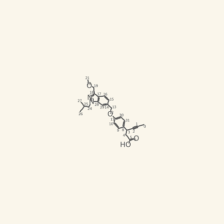 CC#CC(CC(=O)O)c1ccc(OCc2ccc3c(COC)nn(CC(C)C)c3c2)cc1